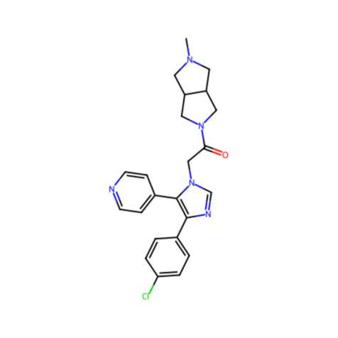 CN1CC2CN(C(=O)Cn3cnc(-c4ccc(Cl)cc4)c3-c3ccncc3)CC2C1